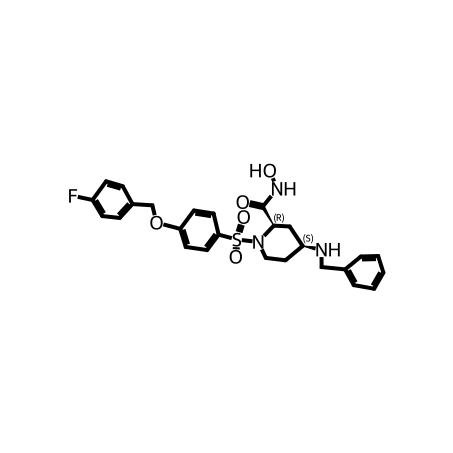 O=C(NO)[C@H]1C[C@@H](NCc2ccccc2)CCN1S(=O)(=O)c1ccc(OCc2ccc(F)cc2)cc1